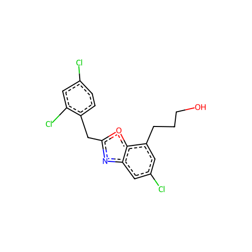 OCCCc1cc(Cl)cc2nc(Cc3ccc(Cl)cc3Cl)oc12